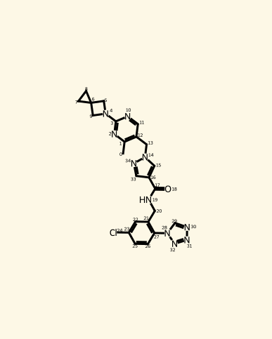 Cc1nc(N2CC3(CC3)C2)ncc1Cn1cc(C(=O)NCc2cc(Cl)ccc2-n2cnnn2)cn1